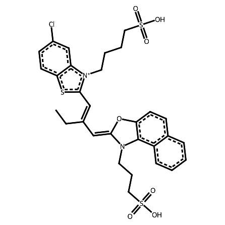 CCC(=Cc1sc2ccc(Cl)cc2[n+]1CCCCS(=O)(=O)O)C=C1Oc2ccc3ccccc3c2N1CCCS(=O)(=O)O